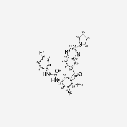 O=C(Nc1ccc(F)cc1)Nc1cc(F)c(F)c(C(=O)c2ccc3ncc(N4CCCC4)nc3c2)c1